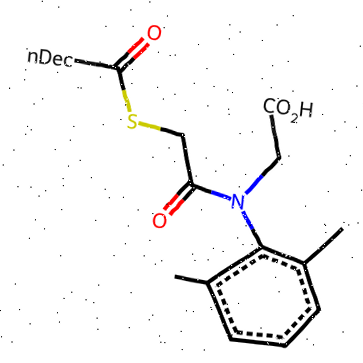 CCCCCCCCCCC(=O)SCC(=O)N(CC(=O)O)c1c(C)cccc1C